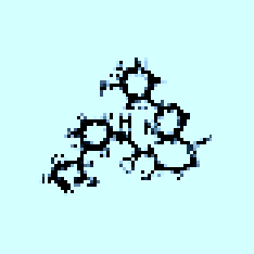 C[C@@H]1CCN(C)c2ccc(-c3cncc(F)c3)nc2N1C(=O)Nc1cccc(-c2cnco2)c1